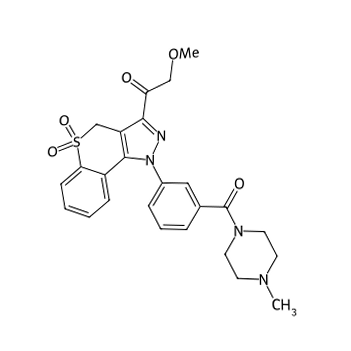 COCC(=O)c1nn(-c2cccc(C(=O)N3CCN(C)CC3)c2)c2c1CS(=O)(=O)c1ccccc1-2